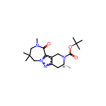 C[C@@H]1Cc2nn3c(c2CN1C(=O)OC(C)(C)C)C(=O)N(C)CC(C)(C)C3